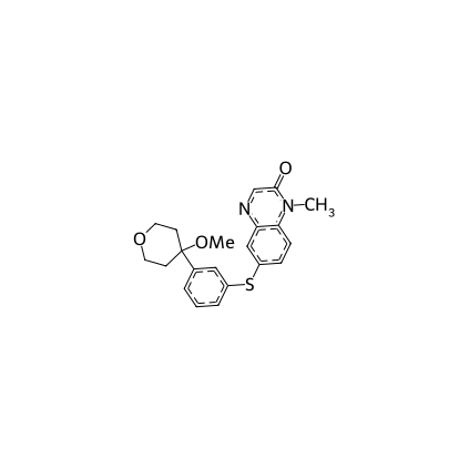 COC1(c2cccc(Sc3ccc4c(c3)ncc(=O)n4C)c2)CCOCC1